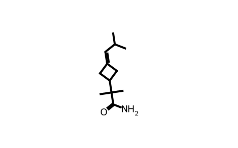 CC(C)C=C1CC(C(C)(C)C(N)=O)C1